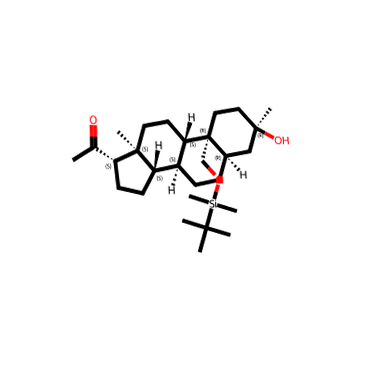 CC(=O)[C@H]1CC[C@H]2[C@@H]3CC[C@@H]4C[C@](C)(O)CC[C@]4(CO[Si](C)(C)C(C)(C)C)[C@H]3CC[C@]12C